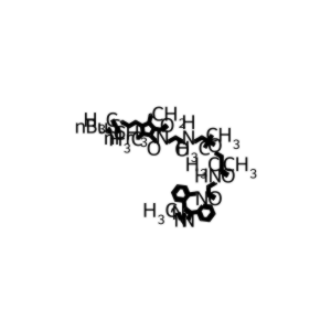 C=CC1C(CCCS(C)(C)C(CCC)CCCC)C(C)C2C(=O)N(CCC(=O)NCCC(C)(C)OCCC(C)(C)C(=O)NCCC(=O)N3Cc4ccccc4-c4c(nnn4C)-c4ccccc43)C(=O)C12